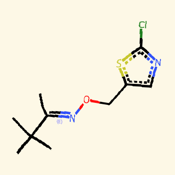 C/C(=N\OCc1cnc(Cl)s1)C(C)(C)C